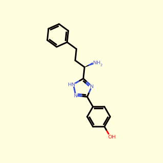 N[C@H](CCc1ccccc1)c1nc(-c2ccc(O)cc2)n[nH]1